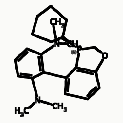 CN(C)c1cccc(N(C)C)c1-c1cccc2c1[P@@](C1CCCCC1)CO2